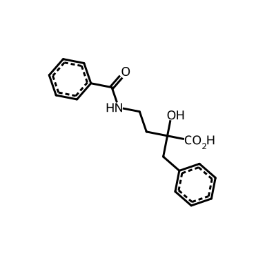 O=C(NCCC(O)(Cc1ccccc1)C(=O)O)c1ccccc1